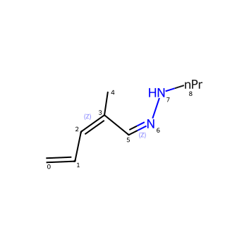 C=C/C=C(C)\C=N/NCCC